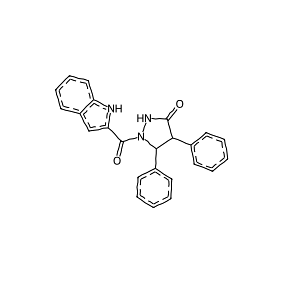 O=C1NN(C(=O)c2cc3ccccc3[nH]2)C(c2ccccc2)C1c1ccccc1